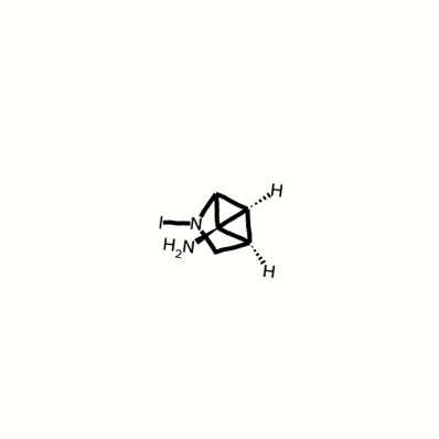 N[C@@]12C3[C@H]1[C@H]2CN3I